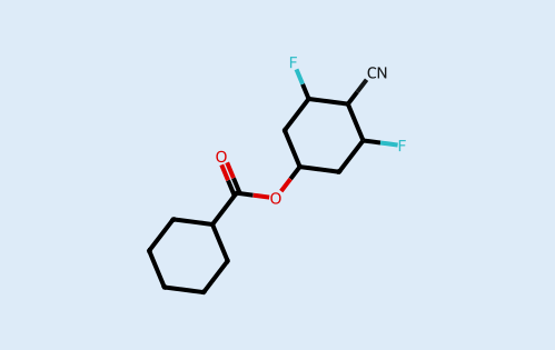 N#CC1C(F)CC(OC(=O)C2CCCCC2)CC1F